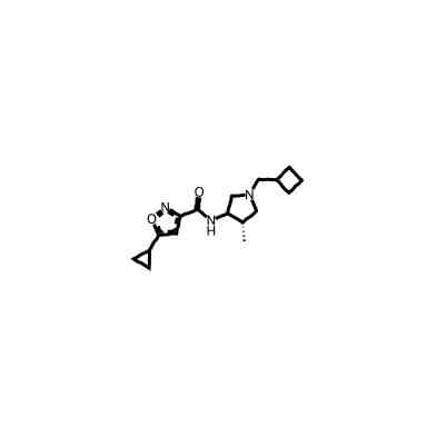 C[C@H]1CN(CC2CCC2)CC1NC(=O)c1cc(C2CC2)on1